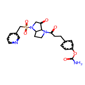 NC(=O)Oc1ccc(C[CH]C(=O)N2CCC3C2C(=O)CN3S(=O)(=O)Cc2cccnc2)cc1